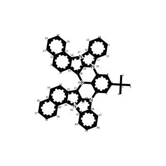 CC(C)(C)c1cc2c3c(c1)-n1c4ccccc4n4c5c(ccc6ccccc65)c(c14)B3c1c3ccc4ccccc4c3n3c4ccccc4n-2c13